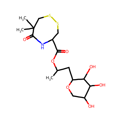 CC(CC1OCC(O)C(O)C1O)OC(=O)C1CSSCC(C)(C)C(=O)N1